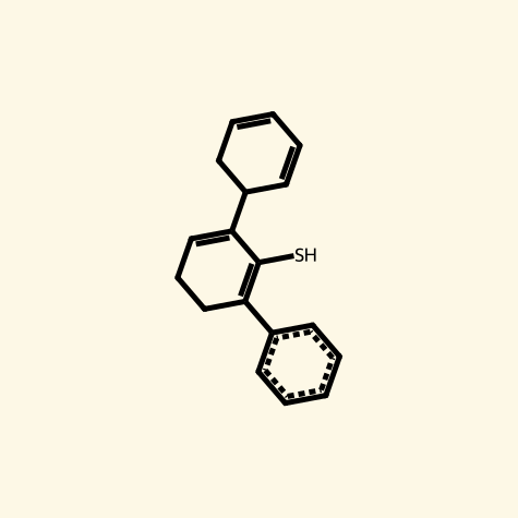 SC1=C(c2ccccc2)CCC=C1C1C=CC=CC1